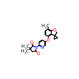 Cc1ccc(Oc2ccc(N3C(=O)CC(C)(C)C3=O)nc2)c2c1OCC21CC1